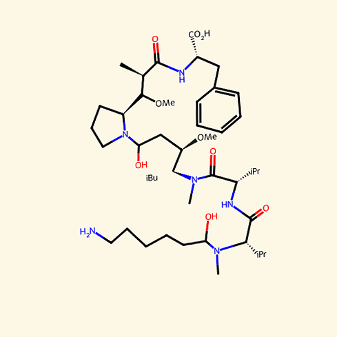 CC[C@H](C)[C@@H]([C@@H](CC(O)N1CCC[C@H]1C(OC)[C@@H](C)C(=O)N[C@@H](Cc1ccccc1)C(=O)O)OC)N(C)C(=O)[C@@H](NC(=O)[C@H](C(C)C)N(C)C(O)CCCCCN)C(C)C